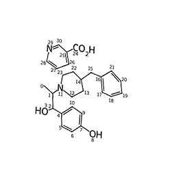 CC(C(O)c1ccc(O)cc1)N1CCC(Cc2ccccc2)CC1.O=C(O)c1cccnc1